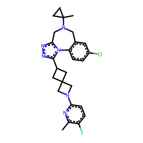 Cc1nc(N2CC3(CC(c4nnc5n4-c4ccc(Cl)cc4CN(C4(C)CC4)C5)C3)C2)ccc1F